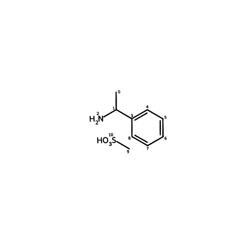 CC(N)c1ccccc1.CS(=O)(=O)O